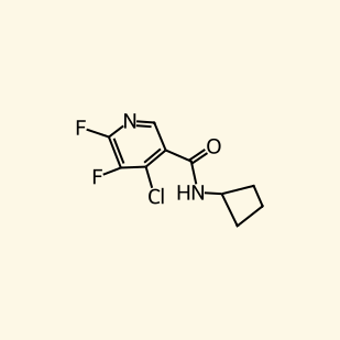 O=C(NC1CCC1)c1cnc(F)c(F)c1Cl